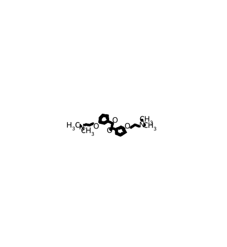 CN(C)CCCOc1cccc(C(=O)C(=O)c2cccc(OCCCN(C)C)c2)c1